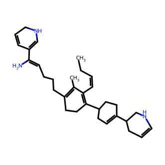 CC/C=C\C1=C(C2CC=C(C3CC=CNC3)CC2)CCC(CCC/C=C(\N)C2=CNCC=C2)=C1C